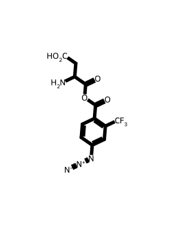 [N-]=[N+]=Nc1ccc(C(=O)OC(=O)C(N)CC(=O)O)c(C(F)(F)F)c1